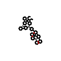 C=CC1=C(/C=C\C)C(c2ccccc2)(c2ccccc2)c2cc(N(c3ccc(-c4ccc5c(c4)C4(c6ccccc6)c6ccccc6N(c6ccccc6)c6c(-c7ccccc7)ccc-5c64)cc3)c3ccc4c(c3)sc3ccccc34)ccc21